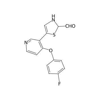 O=CC1NC=C(c2cnccc2Oc2ccc(F)cc2)S1